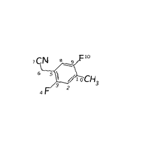 Cc1cc(F)c(CC#N)cc1F